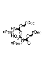 CCCCCCCCCCCOC(=O)N(CCCCC)C(=O)O.CCCCCCCCCCCOC(=O)NCCCCC